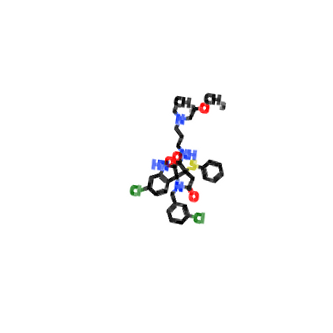 CCN(CCCNC(=O)C1(Sc2ccccc2)CC(=O)N(Cc2cccc(Cl)c2)C12C(=O)Nc1cc(Cl)ccc12)CCOC